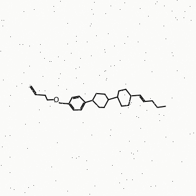 C=CCCOCc1ccc(C2CCC(C3CCC(C=CCCC)CC3)CC2)cc1